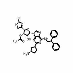 CCn1nnc([C@H]2O[C@@H](n3cnc4c(NCC(c5ccccc5)c5ccccc5)nc(N5CC[C@@H](N)C5)nc43)[C@H](O)[C@@H]2OC(=O)C(F)(F)F)n1